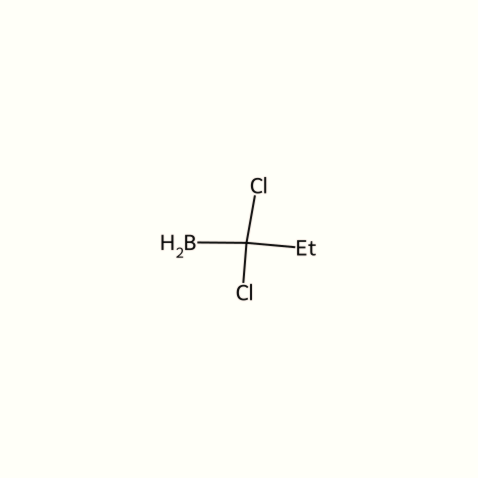 BC(Cl)(Cl)CC